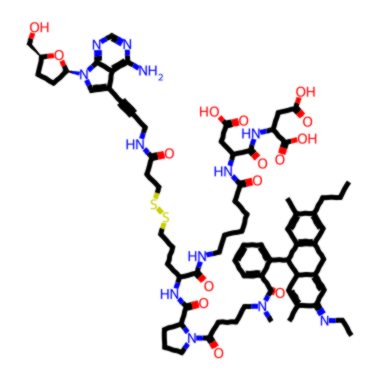 CCCc1cc2c(cc1C)C(c1ccccc1C(=O)N(C)CCCC(=O)N1CCCC1C(=O)NC(CCCSSCCC(=O)NCC#Cc1cn([C@H]3CC[C@@H](CO)O3)c3ncnc(N)c13)C(=O)NCCCCCC(=O)NC(CC(=O)O)C(=O)NC(CC(=O)O)C(=O)O)C1C=C(C)/C(=N/CC)C=C1C2